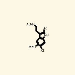 COc1cc2c(CCNC(C)=O)c(C(C)=O)[nH]c2cc1Cl